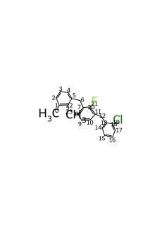 Cc1cccc(Cc2cccc(Cc3ccccc3Cl)c2F)c1C